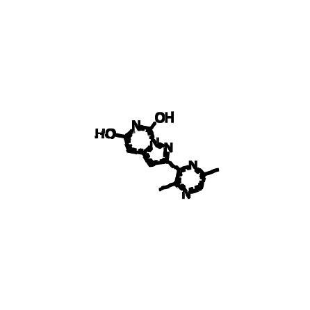 Cc1cnc(C)c(-c2cc3cc(O)nc(O)n3n2)n1